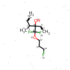 C=CC(C)C(O)(C=C)C(F)(F)OCCCF